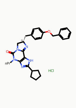 CCCN1C(=O)N2C[C@H](Cc3ccc(OCc4ccccc4)cc3)N=C2c2[nH]c(C3CCCC3)nc21.Cl